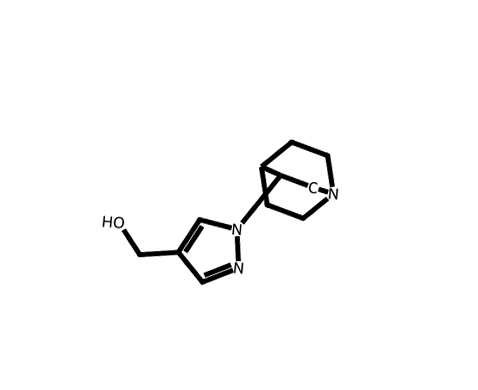 OCc1cnn(C2CN3CCC2CC3)c1